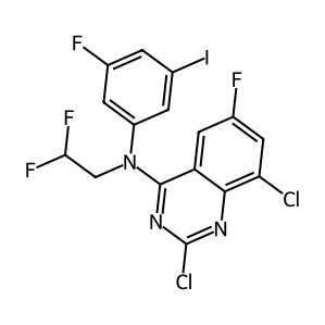 Fc1cc(I)cc(N(CC(F)F)c2nc(Cl)nc3c(Cl)cc(F)cc23)c1